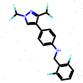 Fc1cccc(F)c1CNc1ccc(-c2cn(C(F)F)nc2C(F)F)cc1